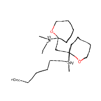 CCCCCCCCCCCCCC[SiH](C)C1(CC2([SiH](C)C)CCCCO2)CCCCO1